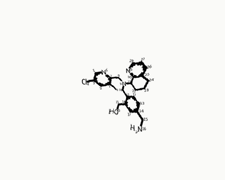 Cc1cc(Cl)cnc1CN(Cc1ccc(CN)cc1CO)C1CCCc2cccnc21